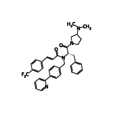 CN(C)C1CCN(C(=O)[C@H](Cc2ccccc2)N(Cc2ccc(-c3ccccn3)cc2)C(=O)C=Cc2ccc(C(F)(F)F)cc2)C1